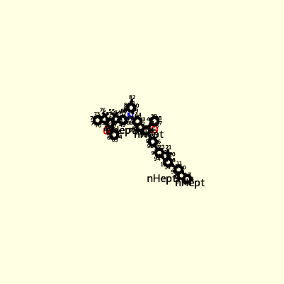 CCCCCCCC1(CCCCCCC)c2ccccc2-c2ccc(-c3ccc4c(c3)C(C)(C)c3cc(-c5ccc(-c6cc7c(c8c6oc6ccccc68)-c6ccc(N(c8ccc9c(c8)C(C)(C)c8c%10c(c%11oc%12ccccc%12c%11c8-9)-c8ccccc8C%10(C)C)c8ccc(C)cc8C)cc6C7(CCCCCCC)CCCCCCC)cc5)ccc3-4)cc21